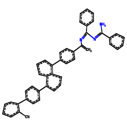 C=C(/N=C(\N=C(/N)c1ccccc1)c1ccccc1)c1ccc(-c2cccc3c(-c4ccc(-c5ccccc5C#N)cc4)cccc23)cc1